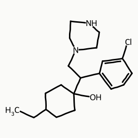 CCC1CCC(O)(C(CN2CCNCC2)c2cccc(Cl)c2)CC1